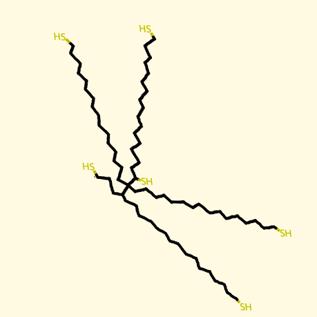 S[CH]CCC(CCCCCCCCCCCCCCCCS)C(CCCCCCCCCCCCCCCCS)(CCCCCCCCCCCCCCCCS)[C](S)CCCCCCCCCCCCCCCCS